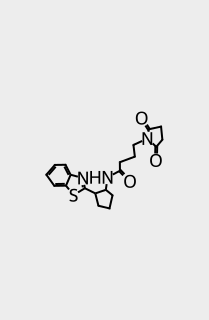 O=C(CCCN1C(=O)CCC1=O)NC1CCCC1c1nc2ccccc2s1